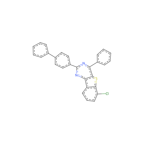 Clc1cccc2c1sc1c(-c3ccccc3)nc(-c3ccc(-c4ccccc4)cc3)nc12